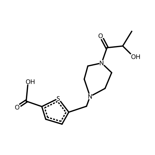 CC(O)C(=O)N1CCN(Cc2ccc(C(=O)O)s2)CC1